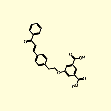 O=C(O)c1cc(OCCc2ccc(C=CC(=O)c3ccccc3)cc2)cc(C(=O)O)c1